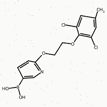 Cc1cc(Cl)c(OCCOc2ccc(B(O)O)cn2)c(Cl)c1